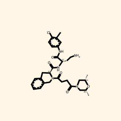 Cc1cc(NC(=O)[C@H](CCN)NC(=O)[C@@H]2Cc3ccccc3CN2C(=O)CCC(=O)N2C[C@@H](C)O[C@@H](C)C2)ccc1Cl